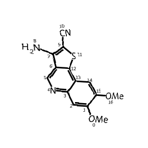 COc1cc2ncc3c(N)c(C#N)sc3c2cc1OC